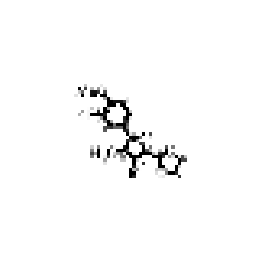 COc1ccc(-c2sc(C3OCCO3)c(Br)c2C)cc1Cl